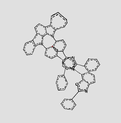 c1ccc(-c2nc(-c3ccccc3)nc(-c3ccc(-n4c5ccccc5c5ccc6c7ccccc7n(-c7ccc(-c8ccc(-c9cccc%10nc(-c%11ccccc%11)oc9%10)cc8)cc7)c6c54)cc3)n2)cc1